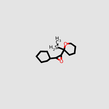 C[SiH2]C1(C2OC2C2CCCCC2)CCCCO1